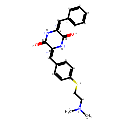 CN(C)CCSc1ccc(/C=c2\[nH]c(=O)/c(=C\c3ccccc3)[nH]c2=O)cc1